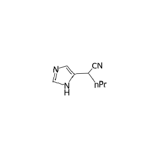 CCCC(C#N)c1cnc[nH]1